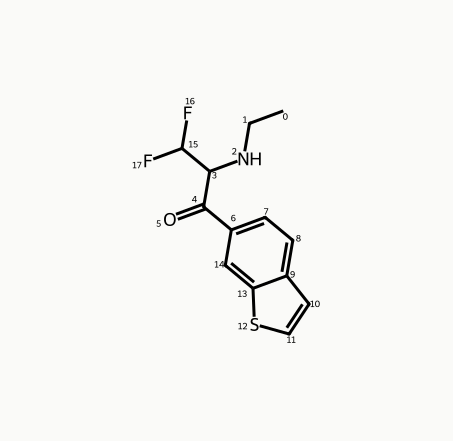 CCNC(C(=O)c1ccc2ccsc2c1)C(F)F